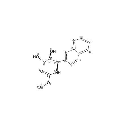 CC(C)(C)OC(=O)N[C@H](c1ccc2ccccc2c1)[C@H](O)CO